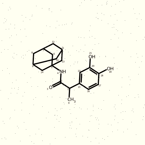 CC(C(=O)NC12CC3CC(CC(C3)C1)C2)c1ccc(O)c(O)c1